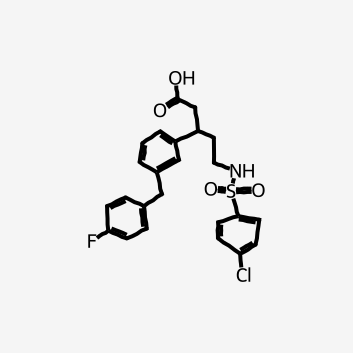 O=C(O)CC(CCNS(=O)(=O)c1ccc(Cl)cc1)c1cccc(Cc2ccc(F)cc2)c1